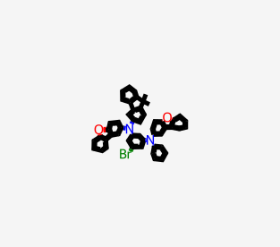 CC1(C)c2ccccc2-c2cc(N(c3cc(Br)cc(N(c4ccccc4)c4ccc5oc6ccccc6c5c4)c3)c3ccc4oc5ccccc5c4c3)ccc21